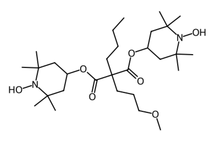 CCCCC(CCCOC)(C(=O)OC1CC(C)(C)N(O)C(C)(C)C1)C(=O)OC1CC(C)(C)N(O)C(C)(C)C1